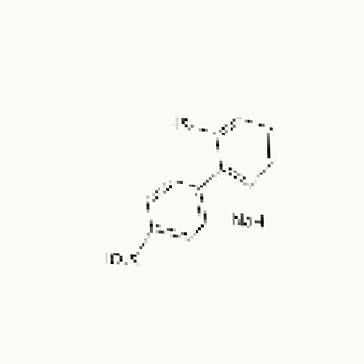 O=S(=O)(O)c1ccc(-c2ccccc2S)cc1.[NaH]